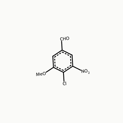 COc1cc(C=O)cc([N+](=O)[O-])c1Cl